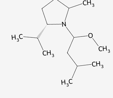 COC(CC(C)C)N1C(C)CC[C@H]1C(C)C